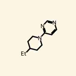 CCC1CCN(c2ccncn2)CC1